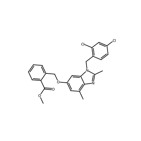 COC(=O)c1ccccc1COc1cc(C)c2nc(C)n(Cc3ccc(Cl)cc3Cl)c2c1